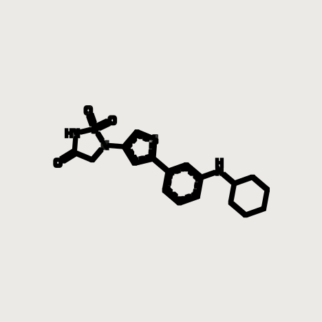 O=C1CN(c2csc(-c3cccc(NC4CCCCC4)c3)c2)S(=O)(=O)N1